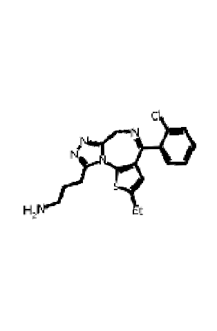 CCc1cc2c(s1)-n1c(CCCN)nnc1CN=C2c1ccccc1Cl